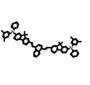 Cc1cc(C)cc(N(c2ccccc2)c2ccc3c(c2)C(C)(C)c2cc(/C=C/c4ccc(/C=C/c5ccc6c(c5)C(C)(C)c5cc(N(c7ccccc7)c7cc(C)cc(C)c7)ccc5-6)c5ccccc45)ccc2-3)c1